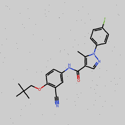 Cc1c(C(=O)Nc2ccc(OCC(C)(C)C)c(C#N)c2)cnn1-c1ccc(F)cc1